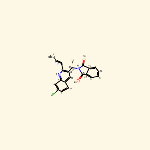 CCCC/C=C/c1nc2cc(F)ccc2cc1[C@H](C)N1C(=O)c2ccccc2C1=O